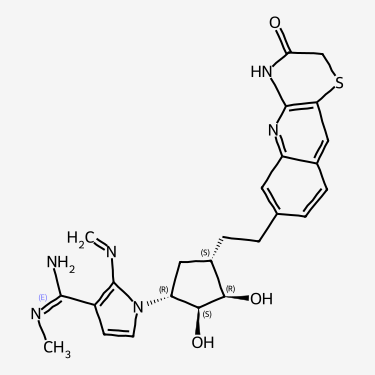 C=Nc1c(/C(N)=N\C)ccn1[C@@H]1C[C@H](CCc2ccc3cc4c(nc3c2)NC(=O)CS4)[C@@H](O)[C@H]1O